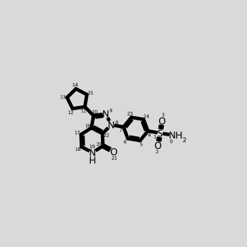 NS(=O)(=O)c1ccc(-n2nc(C3CCCC3)c3cc[nH]c(=O)c32)cc1